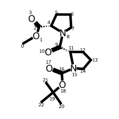 COC(=O)[C@@H]1CCCN1C(=O)[C@@H]1CCCN1C(=O)OC(C)(C)C